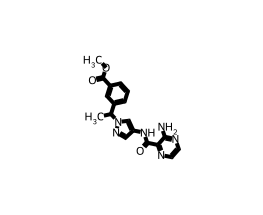 COC(=O)c1cccc(C(C)n2cc(NC(=O)c3nccnc3N)cn2)c1